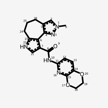 Cn1cc2c(n1)-c1c(C(=O)Nc3ccc4c(n3)OCCO4)c[nH]c1CCC2